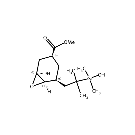 COC(=O)[C@H]1C[C@@H](CC(C)(C)[Si](C)(C)O)[C@H]2O[C@H]2C1